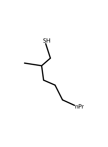 CCCCCCC(C)CS